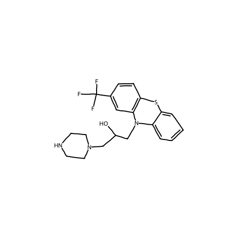 OC(CN1CCNCC1)CN1c2ccccc2Sc2ccc(C(F)(F)F)cc21